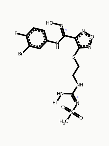 CCN/C(=N\S(C)(=O)=O)NCCSc1nonc1/C(=N/O)Nc1ccc(F)c(Br)c1